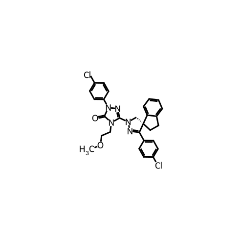 COCCn1c(N2C[C@]3(CCc4ccccc43)C(c3ccc(Cl)cc3)=N2)nn(-c2ccc(Cl)cc2)c1=O